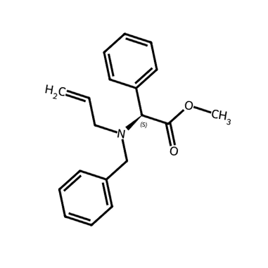 C=CCN(Cc1ccccc1)[C@H](C(=O)OC)c1ccccc1